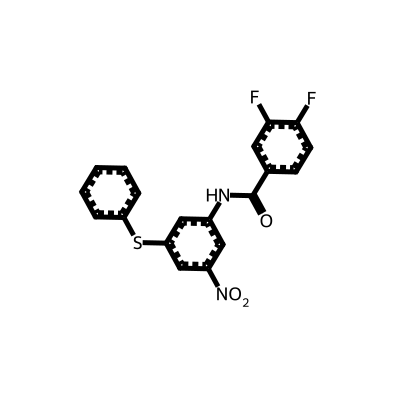 O=C(Nc1cc(Sc2ccccc2)cc([N+](=O)[O-])c1)c1ccc(F)c(F)c1